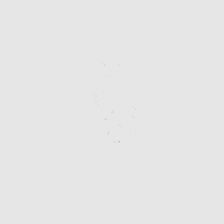 CNc1cc(-c2cc(NC(=O)[C@H](Cc3ccc(F)cc3)N(C)c3cc[nH]n3)n(C)n2)ccn1